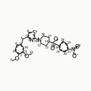 COc1ccc(Cc2csc(N3CCC(S(=O)(=O)c4ccc([N+](=O)[O-])cc4)CC3)n2)cc1OC